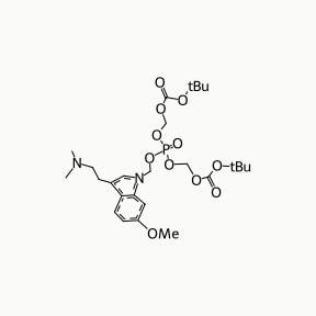 COc1ccc2c(CCN(C)C)cn(COP(=O)(OCOC(=O)OC(C)(C)C)OCOC(=O)OC(C)(C)C)c2c1